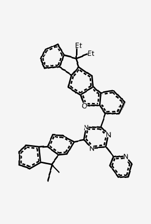 CCC1(CC)c2ccccc2-c2cc3oc4c(-c5nc(-c6ccc7c(c6)C(C)(C)c6ccccc6-7)nc(-c6ccccn6)n5)cccc4c3cc21